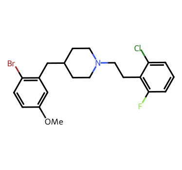 COc1ccc(Br)c(CC2CCN(CCc3c(F)cccc3Cl)CC2)c1